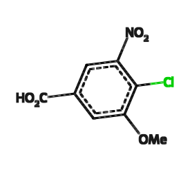 COc1cc(C(=O)O)cc([N+](=O)[O-])c1Cl